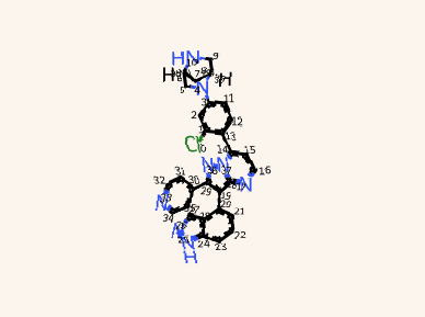 Clc1cc(N2C[C@@H]3C[C@H]2CN3)ccc1-c1ccnc2c(-c3cccc4[nH]ncc34)c(-c3ccncc3)nn12